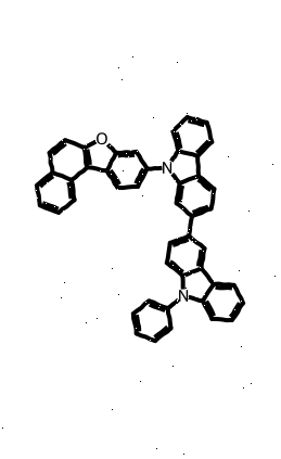 c1ccc(-n2c3ccccc3c3cc(-c4ccc5c6ccccc6n(-c6ccc7c(c6)oc6ccc8ccccc8c67)c5c4)ccc32)cc1